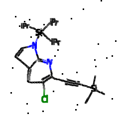 CC(C)[Si](C(C)C)(C(C)C)n1ccc2cc(Cl)c(C#C[Si](C)(C)C)nc21